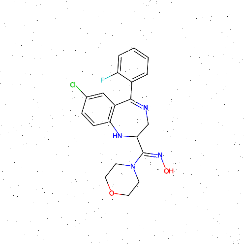 ON=C(C1CN=C(c2ccccc2F)c2cc(Cl)ccc2N1)N1CCOCC1